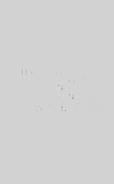 CCOC(=O)n1c(=O)n(C(c2ccccc2)(c2ccccc2)c2ccccc2)c2ncc(Br)cc21